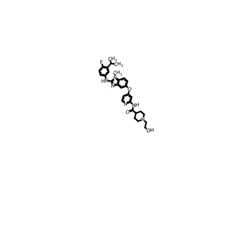 CC(C)c1cc(Nc2nc3cc(Oc4ccnc(NC(=O)C5CCN(CCO)CC5)c4)ccc3n2C)ccc1F